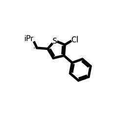 CC(C)[CH]c1cc(-c2ccccc2)c(Cl)s1